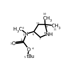 CN(C(=O)OC(C)(C)C)C1CNC(C)(C)C1